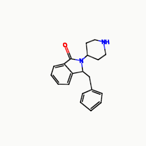 O=C1c2ccccc2C(Cc2ccccc2)N1C1CCNCC1